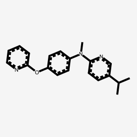 CC(C)c1ccc(N(C)c2ccc(Oc3ccccn3)cc2)nc1